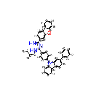 CCC(C)CN/C(=N\C(=N)c1ccc2c(c1)oc1ccccc12)c1ccc(-n2c3ccccc3c3ccc(-c4ccccc4)cc32)cc1